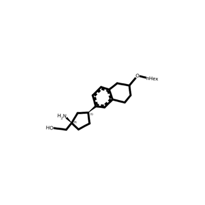 CCCCCCOC1CCc2cc([C@H]3CC[C@](N)(CO)C3)ccc2C1